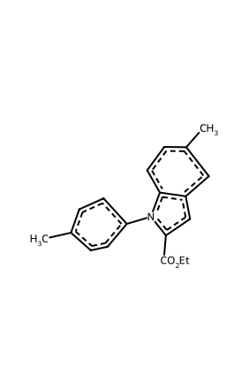 CCOC(=O)c1cc2cc(C)ccc2n1-c1ccc(C)cc1